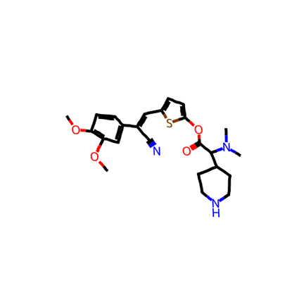 COc1ccc(/C(C#N)=C/c2ccc(OC(=O)C(C3CCNCC3)N(C)C)s2)cc1OC